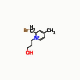 Cc1cc[n+](CCCO)c(C)c1.[Br-]